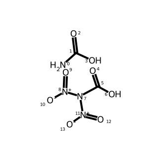 NC(=O)O.O=C(O)N([N+](=O)[O-])[N+](=O)[O-]